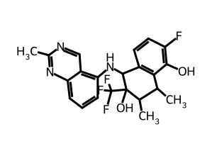 Cc1ncc2c(NC3c4ccc(F)c(O)c4C(C)C(C)C3(O)C(F)(F)F)cccc2n1